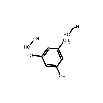 Cc1cc(O)cc(O)c1.N#CO.N#CO